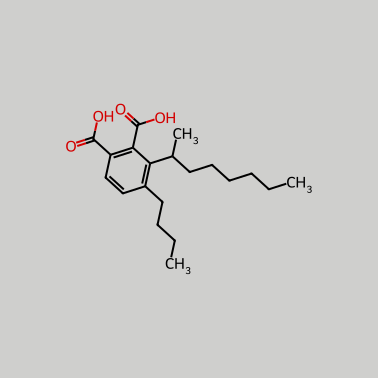 CCCCCCC(C)c1c(CCCC)ccc(C(=O)O)c1C(=O)O